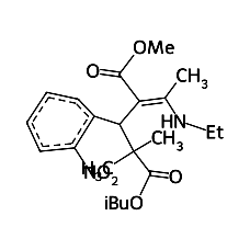 CCN/C(C)=C(/C(=O)OC)C(c1ccccc1[N+](=O)[O-])C(C)(C)C(=O)OCC(C)C